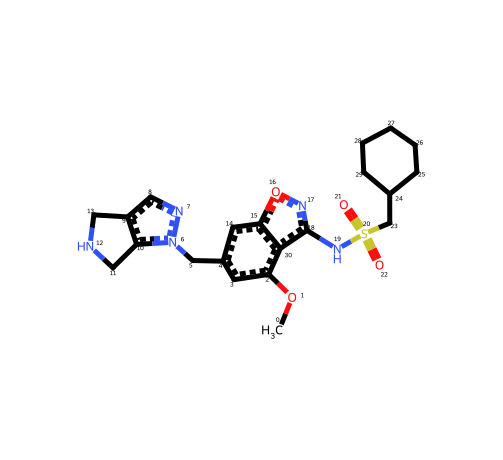 COc1cc(Cn2ncc3c2CNC3)cc2onc(NS(=O)(=O)CC3CCCCC3)c12